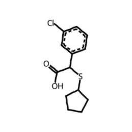 O=C(O)C(SC1CCCC1)c1cccc(Cl)c1